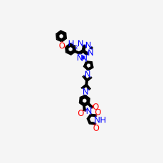 Nc1ncnc2c1c(-c1ccc(Oc3ccccc3)cc1)nn2C1CCC(N2CC(C3CN(c4ccc5c(c4)C(=O)N(C4CCC(=O)NC4=O)C5=O)C3)C2)C1